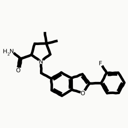 CC1(C)CC(C(N)=O)N(Cc2ccc3oc(-c4ccccc4F)cc3c2)C1